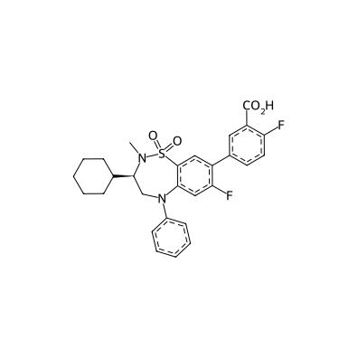 CN1[C@H](C2CCCCC2)CN(c2ccccc2)c2cc(F)c(-c3ccc(F)c(C(=O)O)c3)cc2S1(=O)=O